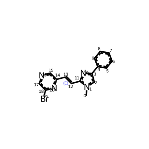 Cn1cc(-c2ccccc2)nc1/C=C/c1cncc(Br)n1